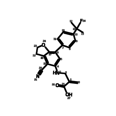 C=C(CNc1cc(-c2ccc(C(C)(C)F)cc2)c2c(c1C#N)CCO2)C(=O)O